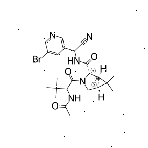 CC(=O)NC(C(=O)N1C[C@H]2[C@@H]([C@H]1C(=O)NC(C#N)c1cncc(Br)c1)C2(C)C)C(C)(C)C